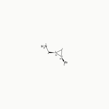 CC(C)[C@@H]1C[C@@H]1CN